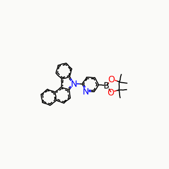 CC1(C)OB(c2ccc(-n3c4ccccc4c4c5ccccc5ccc43)nc2)OC1(C)C